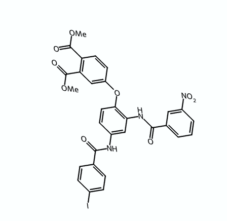 COC(=O)c1ccc(Oc2ccc(NC(=O)c3ccc(I)cc3)cc2NC(=O)c2cccc([N+](=O)[O-])c2)cc1C(=O)OC